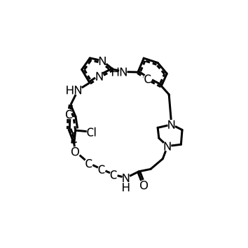 O=C1CCN2CCN(CC2)Cc2cccc(c2)Nc2nccc(n2)Nc2ccc(c(Cl)c2)OCCCN1